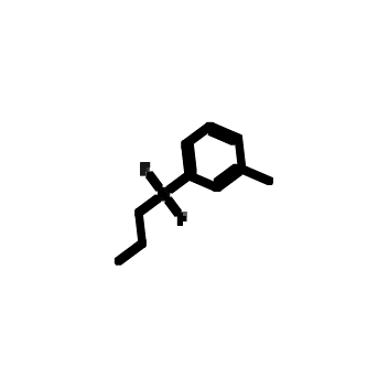 CCC[Si](F)(F)c1cccc(C)c1